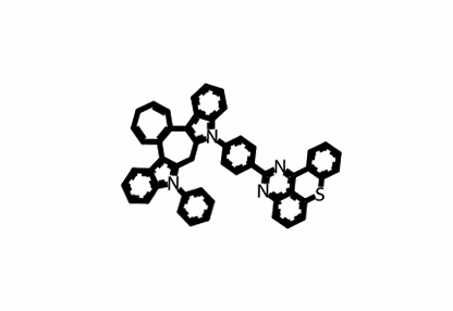 C1=CC2=C(C=CC1)c1c(n(-c3ccc(-c4nc5c6c(cccc6n4)Sc4ccccc4-5)cc3)c3ccccc13)Cc1c2c2ccccc2n1-c1ccccc1